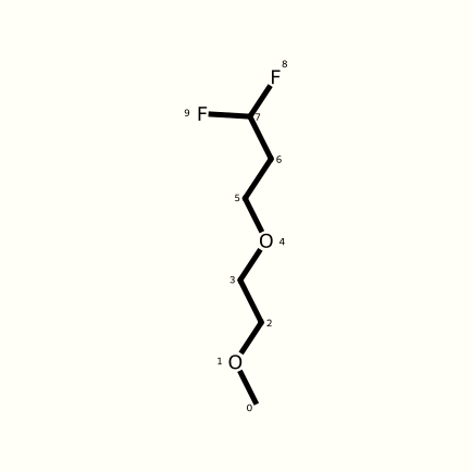 COCCOCCC(F)F